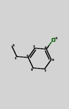 CCC1=CC(Cl)=CCC1